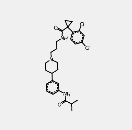 CC(C)C(=O)Nc1cccc(C2CCN(CCCNC(=O)C3(c4ccc(Cl)cc4Cl)CC3)CC2)c1